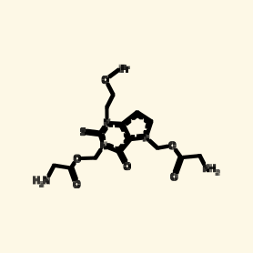 CC(C)OCCn1c(=S)n(COC(=O)CN)c(=O)c2c1ccn2COC(=O)CN